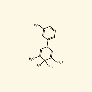 CC1=CC(c2cccc(C)c2)C=C(S(=O)(=O)O)C1(N)N